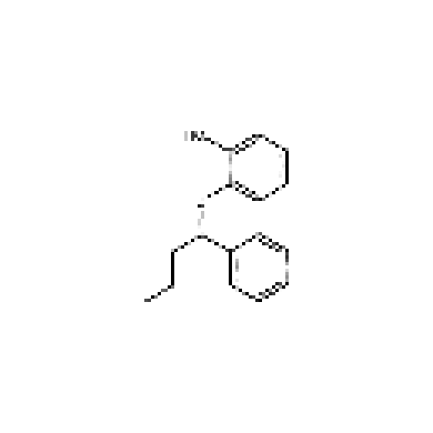 CCCC(Oc1ccccc1O)c1ccccc1